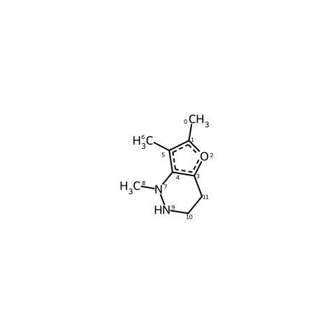 Cc1oc2c(c1C)N(C)NCC2